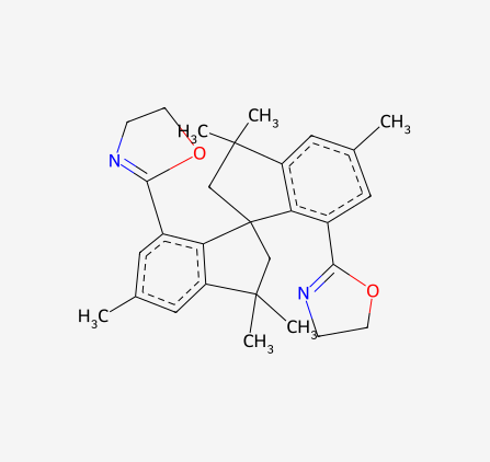 Cc1cc(C2=NCCO2)c2c(c1)C(C)(C)CC21CC(C)(C)c2cc(C)cc(C3=NCCO3)c21